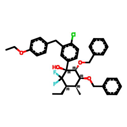 CCOc1ccc(Cc2cc([C@]3(O)[C@H](OCc4ccccc4)[C@@H](OCc4ccccc4)[C@H](C)[C@@H](CC)C3(F)F)ccc2Cl)cc1